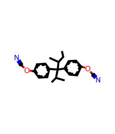 CCC(C)C(c1ccc(OC#N)cc1)(c1ccc(OC#N)cc1)C(C)C